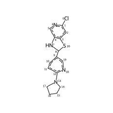 Clc1cc2c(cn1)NC(c1ccc(N3CCCC3)nc1)S2